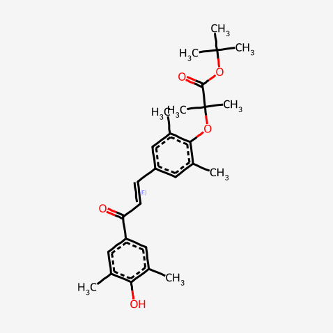 Cc1cc(C(=O)/C=C/c2cc(C)c(OC(C)(C)C(=O)OC(C)(C)C)c(C)c2)cc(C)c1O